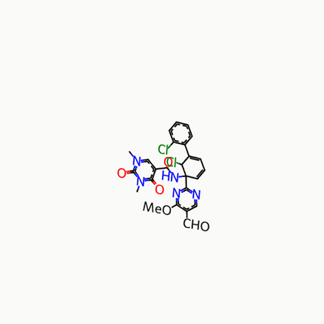 COc1nc(C2(NC(=O)c3cn(C)c(=O)n(C)c3=O)C=CC=C(c3ccccc3Cl)C2Cl)ncc1C=O